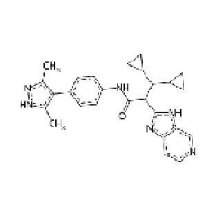 Cc1n[nH]c(C)c1-c1ccc(NC(=O)C(c2nc3ccncc3[nH]2)C(C2CC2)C2CC2)cc1